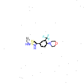 CN[SH]1C=C(c2ccc(N3CCOCC3)c(C(F)(F)F)c2)N1